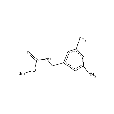 Cc1cc(N)cc(CNC(=O)OC(C)(C)C)c1